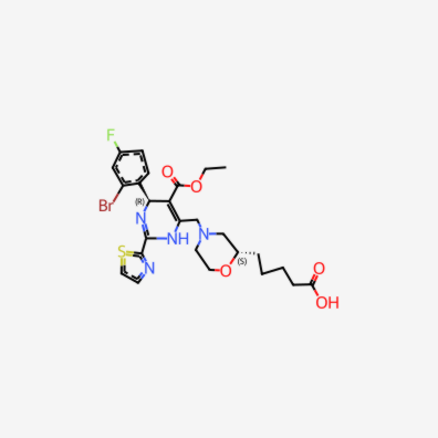 CCOC(=O)C1=C(CN2CCO[C@@H](CCCCC(=O)O)C2)NC(c2nccs2)=N[C@H]1c1ccc(F)cc1Br